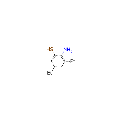 CCc1cc(S)c(N)c(CC)c1